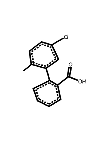 Cc1ccc(Cl)cc1-c1ccccc1C(=O)O